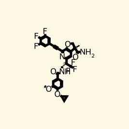 COc1cc(C(=O)NC[C@H](c2cc3c(c(C#Cc4cc(F)c(F)c(F)c4)n2)OC[C@]3(C)C(N)=O)C(F)(F)F)ccc1OC1CC1